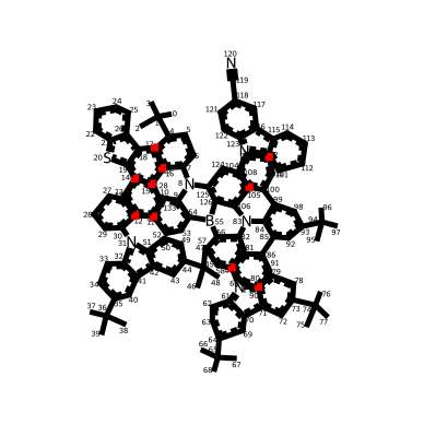 CC(C)(C)c1ccc(N2c3cc(-c4c(-c5cccc6c5sc5ccccc56)cccc4-n4c5ccc(C(C)(C)C)cc5c5cc(C(C)(C)C)ccc54)ccc3B3c4ccc(-n5c6ccc(C(C)(C)C)cc6c6cc(C(C)(C)C)ccc65)cc4N(c4c(-c5ccccc5)cc(C(C)(C)C)cc4-c4ccccc4)c4cc(-n5c6ccccc6c6cc(C#N)ccc65)cc2c43)c(-c2ccccc2)c1